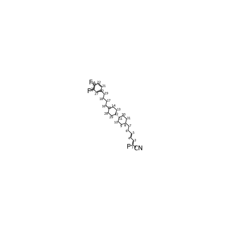 N#C/C(F)=C/C=C/CCC1CCC([C@H]2CC[C@H](CCCCc3ccc(F)c(F)c3)CC2)CC1